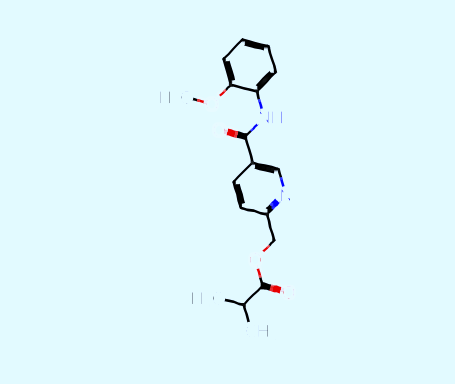 COc1ccccc1NC(=O)c1ccc(COC(=O)C(C)C)nc1